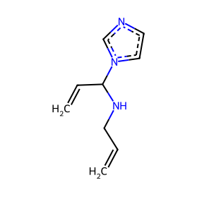 C=CCNC(C=C)n1ccnc1